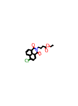 CCOC(=O)CCCN1C(=O)c2cccc3c(Cl)ccc(c23)C1=O